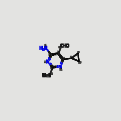 CSc1nc(N)c(C=O)c(C2CC2)n1